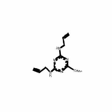 C=CCNc1nc(NCC=C)nc(OC)n1